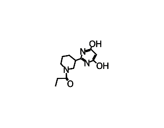 CCC(=O)N1CCCC(c2nc(O)cc(O)n2)C1